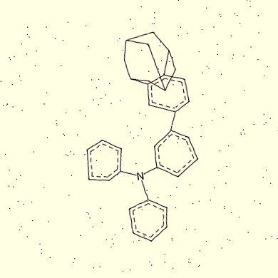 c1ccc(N(c2ccccc2)c2cccc(-c3ccc4c(c3)C3CC5CC(CC4C5)C3)c2)cc1